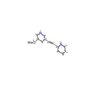 COc1cncc(C#Cc2ccccn2)c1